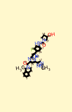 C[C@@H]1c2ccccc2CCN1C(=O)c1cc(-c2cnn(C)n2)n2nc(-c3ccc(NC(=O)N4CC[C@H](O)C4)cc3F)cc2n1